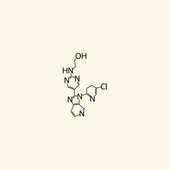 OCCNc1ncc(-c2nc3ccncc3n2C2=NC=C(Cl)CC2)cn1